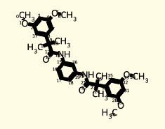 COc1cc(OC)cc(C(C)(C)C(=O)Nc2cccc(NC(=O)C(C)(C)c3cc(OC)cc(OC)c3)c2)c1